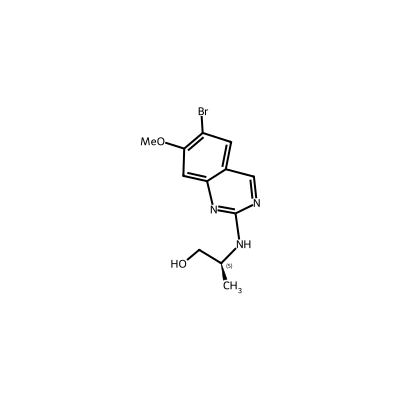 COc1cc2nc(N[C@@H](C)CO)ncc2cc1Br